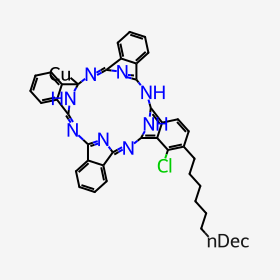 CCCCCCCCCCCCCCCCc1ccc2c3[nH]c(c2c1Cl)N=C1N=C(N=C2N[C]([Cu])(N=C4N=C(N3)c3ccccc34)c3ccccc32)c2ccccc21